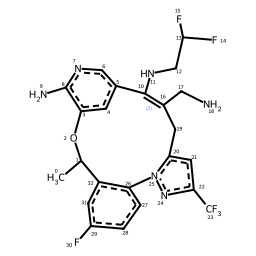 CC1Oc2cc(cnc2N)/C(NCC(F)F)=C(/CN)Cc2cc(C(F)(F)F)nn2-c2ccc(F)cc21